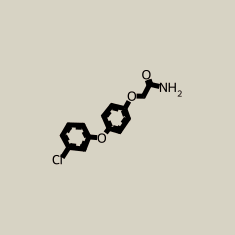 NC(=O)COc1ccc(Oc2cccc(Cl)c2)cc1